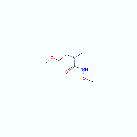 COCCN(C)C(=O)NOC